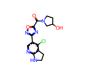 O=C(c1nc(-c2cnc3c(c2Cl)CCN3)no1)N1CCC(O)C1